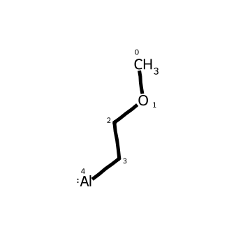 COC[CH2][Al]